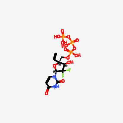 C=C[C@]1(COP(=O)(O)OP(=O)(O)OP(=O)(O)O)O[C@@H](n2ccc(=O)[nH]c2=O)C(F)(F)[C@@H]1O